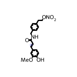 COc1cc(/C=C/C(=O)NCc2ccc(CCO[N+](=O)[O-])cc2)ccc1O